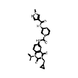 CC(C)n1c(=O)n(CC2CC2)c(=O)c2cc(NC(=O)N3CCCC(NC(=O)c4cnn(C)c4)C3)ccc21